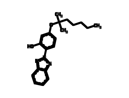 CCCCCC(C)(C)Oc1ccc(-n2nc3ccccc3n2)c(O)c1